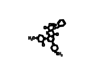 COC(=O)c1nc2c(N3CCN(C)CC3=O)cc(N3CCN(C)CC3)cn2c(=O)c1OCc1ccccc1